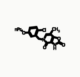 CCCOc1ccc(Cl)c(Cn2cc(C)c3oc(=O)[nH]c3c2=O)c1